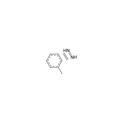 C=C.Cc1ccccc1.N=N